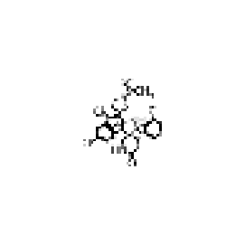 C[S+]([O-])N1CCC(Oc2ccc(Cl)cc2[C@H]2NC(=O)C[C@@H](c3cccc(Cl)c3)[C@]23C(=O)Nc2cc(Cl)ccc23)C1